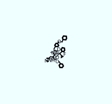 CN(C(=O)[C@H](Cc1cnc[nH]1)NC(=O)OCc1ccccc1)[C@@H](Cc1ccc(OCc2ccccc2)cc1)C(=O)NC(c1ccccc1F)C1CC1